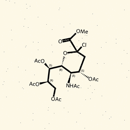 COC(=O)C1(Cl)C[C@H](OC(C)=O)[C@@H](NC(C)=O)[C@H]([C@H](OC(C)=O)[C@@H](COC(C)=O)OC(C)=O)O1